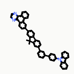 CC1(C)c2cc(-c3cccc(-c4ccc(-n5c6ccccc6c6ccccc65)cc4)c3)ccc2-c2ccc(-c3ccc4c(c3)c3ccccc3c3nccnc43)cc21